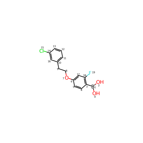 OB(O)c1ccc(OCCc2cccc(Cl)c2)cc1F